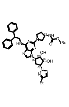 CCc1cnn([C@H]2C[C@@H](n3cnc4c(NCC(c5ccccc5)c5ccccc5)nc(N5CC[C@@H](NC(=O)OC(C)(C)C)C5)nc43)[C@H](O)[C@@H]2O)n1